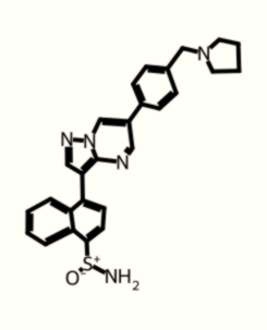 N[S+]([O-])c1ccc(-c2cnn3cc(-c4ccc(CN5CCCC5)cc4)cnc23)c2ccccc12